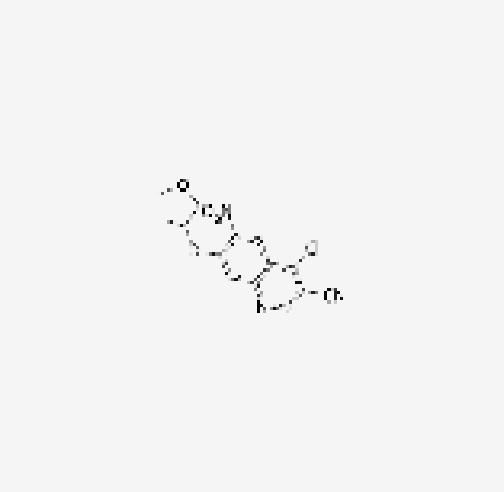 N#Cc1cnc2cc(OC3CCOC3)c([N+](=O)[O-])cc2c1Cl